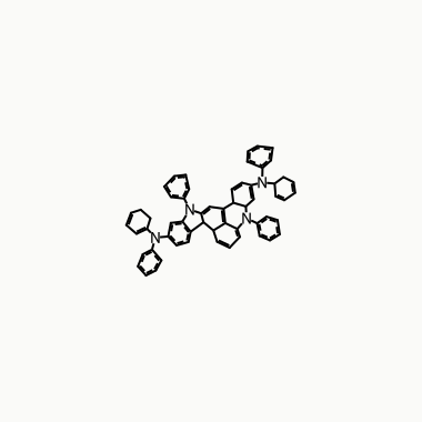 C1=CCCC(N(c2ccccc2)c2ccc3c(c2)N(c2ccccc2)C2=CC4=C5C(=CC=CC5C23)N(c2ccccc2)C2C=C(N(c3ccccc3)C3C=CC=CC3)C=CC42)=C1